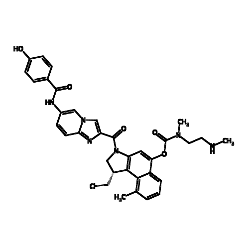 CNCCN(C)C(=O)Oc1cc2c(c3c(C)cccc13)[C@H](CCl)CN2C(=O)c1cn2cc(NC(=O)c3ccc(O)cc3)ccc2n1